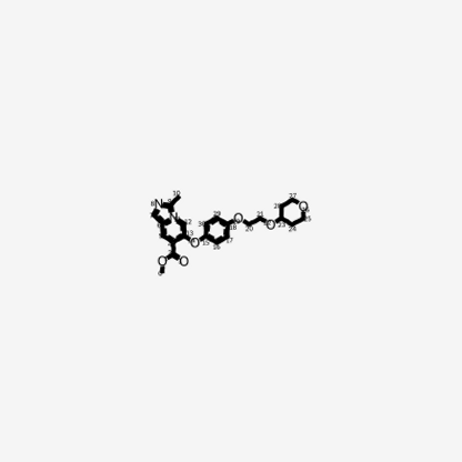 COC(=O)c1cc2cnc(C)n2cc1Oc1ccc(OCCOC2CCOCC2)cc1